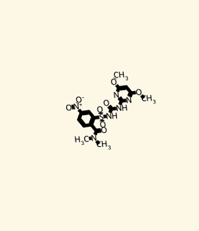 COc1cc(OC)nc(NC(=O)NS(=O)(=O)c2cc([N+](=O)[O-])ccc2C(=O)N(C)C)n1